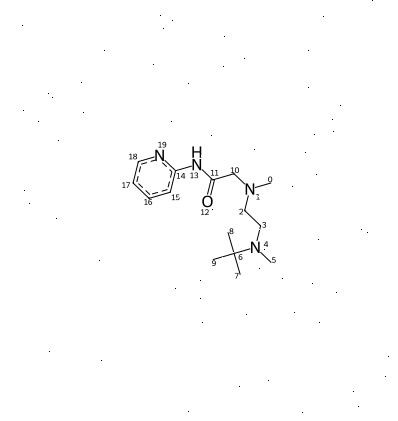 CN(CCN(C)C(C)(C)C)CC(=O)Nc1ccccn1